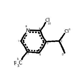 CC(Cl)c1cc(C(F)(F)F)cnc1Cl